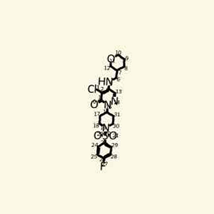 O=c1c(Cl)c(NCC2CCCOC2)cnn1C1CCN(S(=O)(=O)c2ccc(F)cc2)CC1